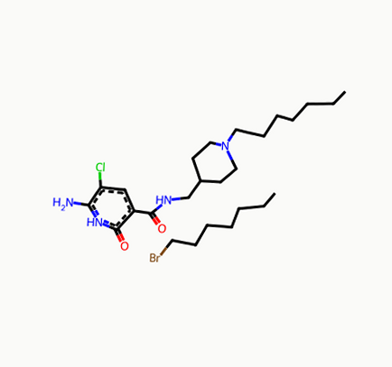 CCCCCCCBr.CCCCCCCN1CCC(CNC(=O)c2cc(Cl)c(N)[nH]c2=O)CC1